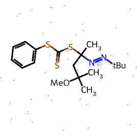 COC(C)(C)CC(C)(/N=N/C(C)(C)C)SC(=S)Sc1ccccc1